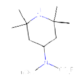 CCCCCCCCN(C(=O)OCC)C1CC(C)(C)NC(C)(C)C1